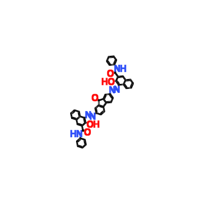 O=C1c2cc(N=Nc3c(O)c(C(=O)Nc4ccccc4)cc4ccccc34)ccc2-c2ccc(N=Nc3c(O)c(C(=O)Nc4ccccc4)cc4ccccc34)cc21